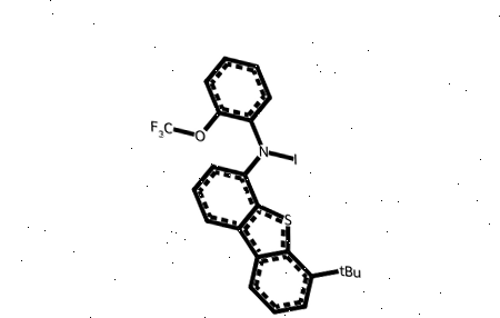 CC(C)(C)c1cccc2c1sc1c(N(I)c3ccccc3OC(F)(F)F)cccc12